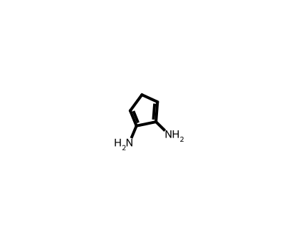 NC1=CCC=C1N